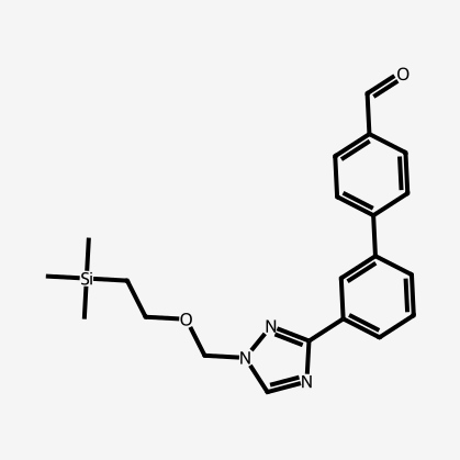 C[Si](C)(C)CCOCn1cnc(-c2cccc(-c3ccc(C=O)cc3)c2)n1